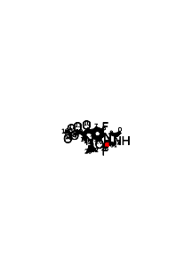 CC1CN(c2c(F)cc3c(=O)c(C(=O)OS(C)(=O)=O)cn(C4CC4)c3c2OC(F)F)CCN1